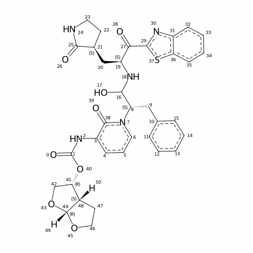 O=C(Nc1cccn([C@@H](Cc2ccccc2)C(O)N[C@@H](C[C@@H]2CCNC2=O)C(=O)c2nc3ccccc3s2)c1=O)O[C@H]1CO[C@H]2OCC[C@H]21